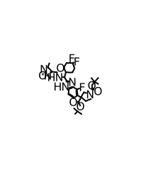 Cc1nonc1C(=O)NC(c1nc2c(F)c(C3(C(=O)OC(C)(C)C)CCN(C(=O)OC(C)(C)C)C3)ccc2[nH]1)C1CCC(F)(F)CC1